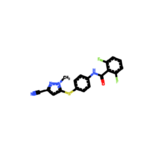 Cn1nc(C#N)cc1Sc1ccc(NC(=O)c2c(F)cccc2F)cc1